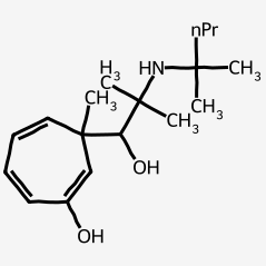 CCCC(C)(C)NC(C)(C)C(O)C1(C)C=CC=CC(O)=C1